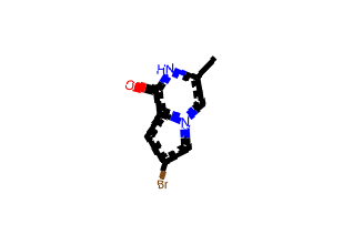 Cc1cn2cc(Br)cc2c(=O)[nH]1